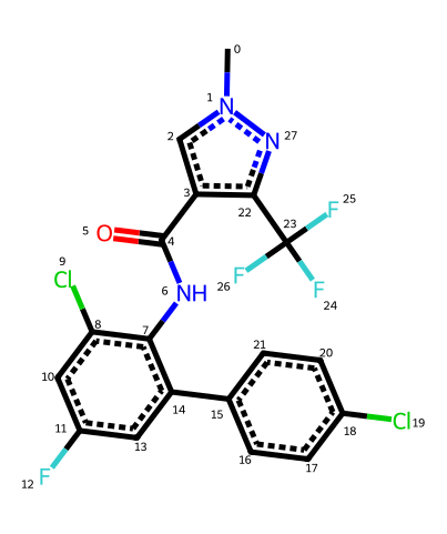 Cn1cc(C(=O)Nc2c(Cl)cc(F)cc2-c2ccc(Cl)cc2)c(C(F)(F)F)n1